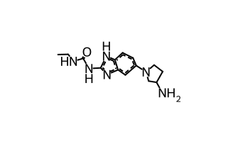 CCNC(=O)Nc1nc2cc(N3CCC(N)C3)ccc2[nH]1